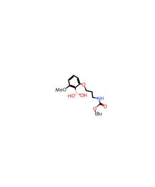 COc1cccc(OCCCNC(=O)OC(C)(C)C)c1B(O)O